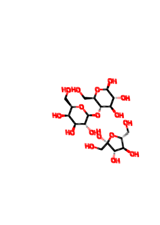 OC[C@H]1O[C@@H](O[C@H]2[C@H](O)[C@@H](O)[C@H](O)O[C@@H]2CO)[C@H](O)[C@@H](O)[C@H]1O.OC[C@H]1O[C@](O)(CO)[C@@H](O)[C@@H]1O